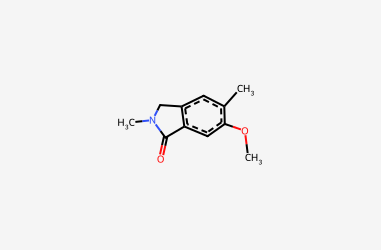 COc1cc2c(cc1C)CN(C)C2=O